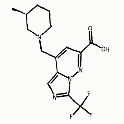 C[C@H]1CCCN(Cc2cc(C(=O)O)nn3c(C(F)(F)F)ncc23)C1